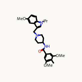 COc1ccc2c(c1)c(CN1CCC(NC(=O)c3cc(OC)c(C)c(OC)c3)CC1)cn2C(C)C